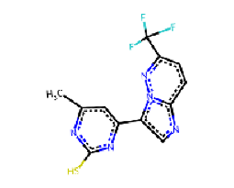 Cc1cc(-c2cnc3ccc(C(F)(F)F)nn23)nc(S)n1